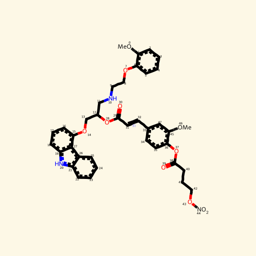 COc1ccccc1OCCNCC(COc1cccc2[nH]c3ccccc3c12)OC(=O)/C=C/c1ccc(OC(=O)CCCO[N+](=O)[O-])c(OC)c1